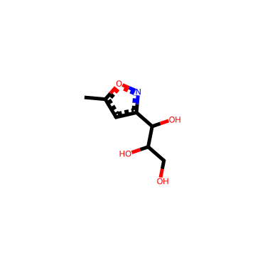 Cc1cc(C(O)C(O)CO)no1